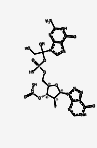 Nc1nc2c(ncn2C(O)(CO)OP(=O)(S)OC[C@H]2O[C@@H](n3nnc4c(=O)[nH]cnc43)[C@@H](F)[C@@H]2O[PH](=O)S)c(=O)[nH]1